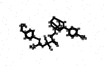 C=Cc1ccc(CN(C)CC(F)(F)C(=O)OCC23CC4CC(C2)CC(c2ccc(C)cc2)(C4)C3)cc1